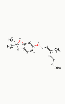 CC(C=CCC(C)(C)C)=CCOc1ccc2c(c1)OC(C)(C)C2